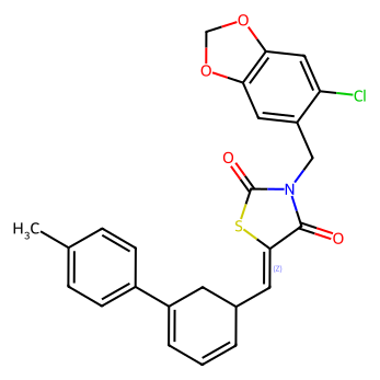 Cc1ccc(C2=CC=CC(/C=C3\SC(=O)N(Cc4cc5c(cc4Cl)OCO5)C3=O)C2)cc1